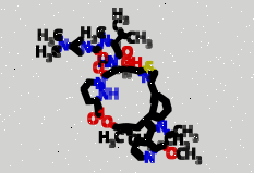 CCn1c(-c2cccnc2[C@H](C)OC)c2c3cc(ccc31)-c1csc(n1)[C@@H](O)[C@H](NC(=O)[C@H](C(C)C)N(C)C(=O)N1CC(N(C)C)C1)C(=O)N1CCCC(C=O)(COCC(C)(C)C2)N1